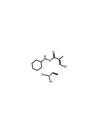 C=CN(CC)C(C)=O.CCC=C(C)C(=O)ONC1CCCCC1